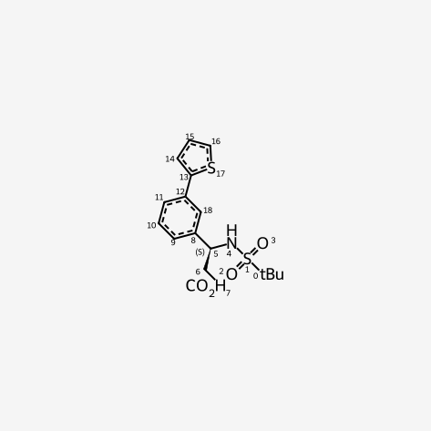 CC(C)(C)S(=O)(=O)N[C@@H](CC(=O)O)c1cccc(-c2cccs2)c1